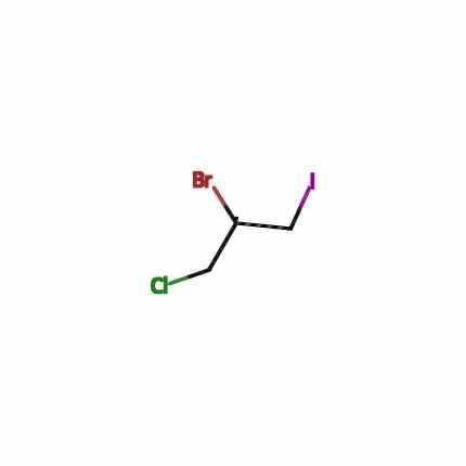 ClC[C](Br)CI